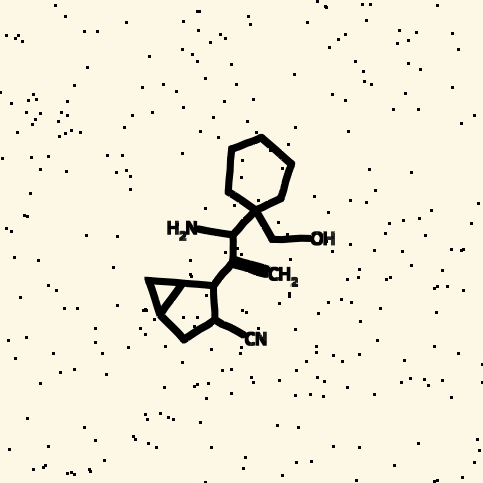 C=C(C1C(C#N)CC2CC21)C(N)C1(CO)CCCCC1